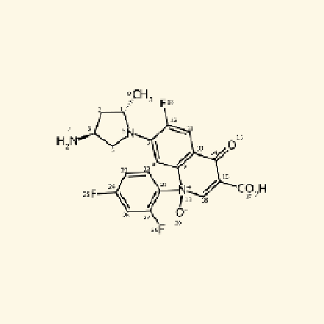 C[C@H]1C[C@H](N)CN1c1cc2c(cc1F)C(=O)C(C(=O)O)=C[N+]2([O-])c1ccc(F)cc1F